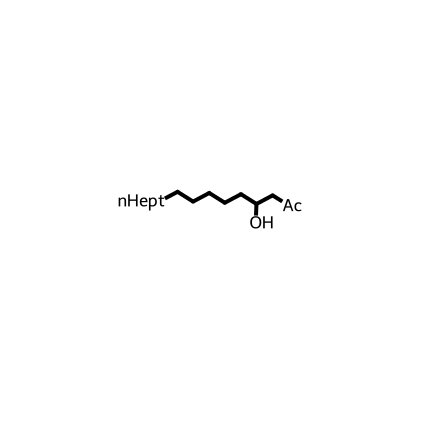 CCCCCCCCCCCCC(O)CC(C)=O